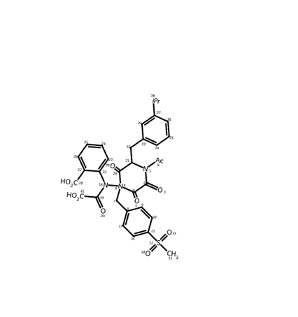 CC(=O)N1C(=O)C(=O)[N+](Cc2ccc(S(C)(=O)=O)cc2)(N(C(=O)C(=O)O)c2ccccc2C(=O)O)C(=O)C1Cc1cccc(C(C)C)c1